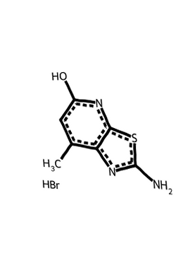 Br.Cc1cc(O)nc2sc(N)nc12